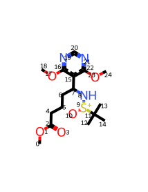 COC(=O)CCCC(N[S+]([O-])C(C)(C)C)c1c(OC)ncnc1OC